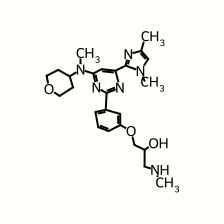 CNCC(O)COc1cccc(-c2nc(-c3nc(C)cn3C)cc(N(C)C3CCOCC3)n2)c1